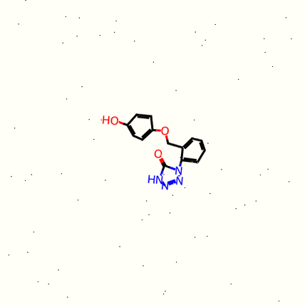 O=c1[nH]nnn1-c1ccccc1COc1ccc(O)cc1